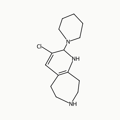 ClC1=CC2=C(CCNCC2)NC1N1CCCCC1